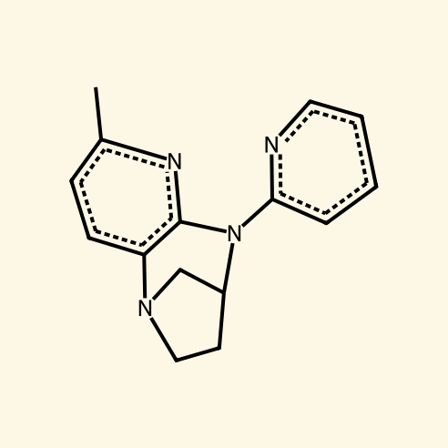 Cc1ccc2c(n1)N(c1ccccn1)C1CCN2C1